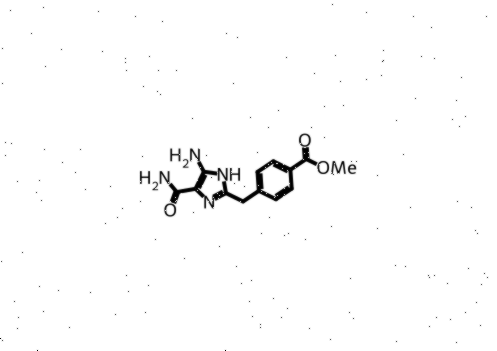 COC(=O)c1ccc(Cc2nc(C(N)=O)c(N)[nH]2)cc1